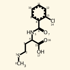 CSCCC(NC(=O)c1ccccc1Cl)C(=O)O